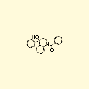 O=C(c1ccccc1)N1CCC(O)(c2ccccc2)C2CCCC=C21